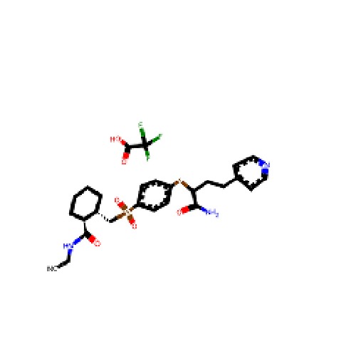 N#CCNC(=O)[C@H]1CCCC[C@@H]1CS(=O)(=O)c1ccc(SC(CCc2ccncc2)C(N)=O)cc1.O=C(O)C(F)(F)F